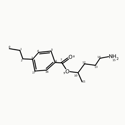 CCCc1ccc(C(=O)OC(C)CCCN)cc1